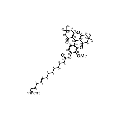 CCCCCC=CCC=CCCCCCCCC(=O)Oc1ccc(C2C3=C(CC(C)(C)CC3=O)OC3=C2C(=O)CC(C)(C)C3)cc1OC